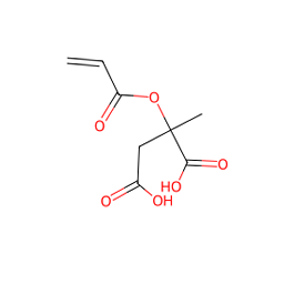 C=CC(=O)OC(C)(CC(=O)O)C(=O)O